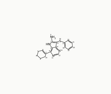 Nc1[nH]c2c(C3=CCCCC3)ncnc2c1Sc1ccccc1